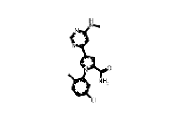 CNc1cc(-c2cc(C(N)=O)n(-c3cc(Cl)ccc3C)c2)ncn1